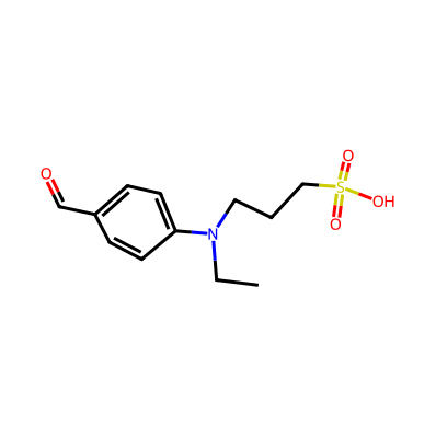 CCN(CCCS(=O)(=O)O)c1ccc(C=O)cc1